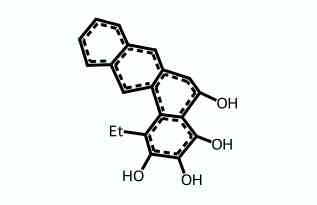 CCc1c(O)c(O)c(O)c2c(O)cc3cc4ccccc4cc3c12